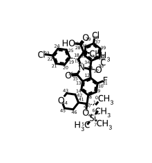 CC[C@@](O[Si](C)(C)C)(c1cc(F)c2c(c1)C(=O)N([C@H](c1ccc(Cl)cc1)[C@H](C)C(=O)O)[C@@]2(OC)c1ccc(Cl)cc1)C1CCOCC1